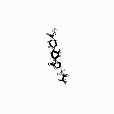 CC(C)OC(=S)N1CCN(c2ccc(N3C[C@H](CNC(=O)C(F)F)OC3=O)cc2F)CC1